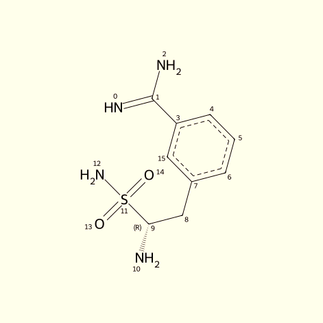 N=C(N)c1cccc(C[C@H](N)S(N)(=O)=O)c1